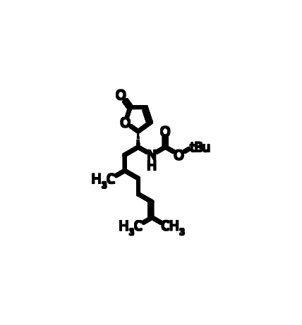 CC(C)=CCCC(C)CC(NC(=O)OC(C)(C)C)[C@H]1C=CC(=O)O1